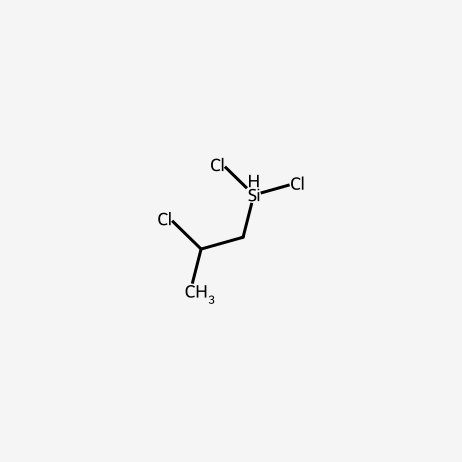 CC(Cl)C[SiH](Cl)Cl